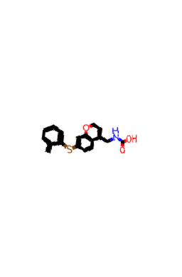 Cc1ccccc1Sc1ccc2c(c1)OCC=C2CNC(=O)O